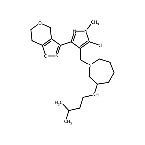 CC(C)CCNC1CCCCN(Cc2c(-c3noc4c3COCC4)nn(C)c2Cl)C1